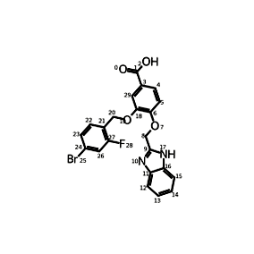 O=C(O)c1ccc(OCc2nc3ccccc3[nH]2)c(OCc2ccc(Br)cc2F)c1